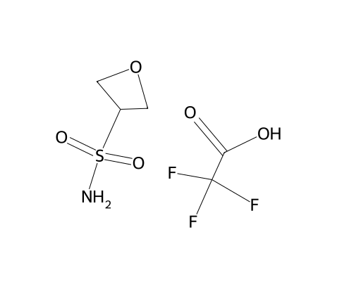 NS(=O)(=O)C1COC1.O=C(O)C(F)(F)F